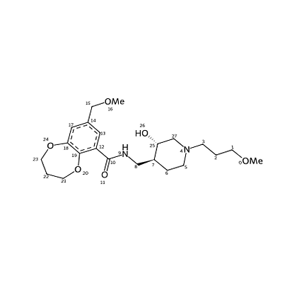 COCCCN1CC[C@@H](CNC(=O)c2cc(COC)cc3c2OCCCO3)[C@H](O)C1